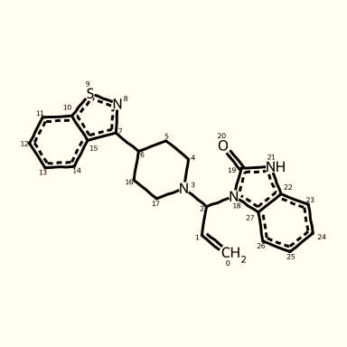 C=CC(N1CCC(c2nsc3ccccc23)CC1)n1c(=O)[nH]c2ccccc21